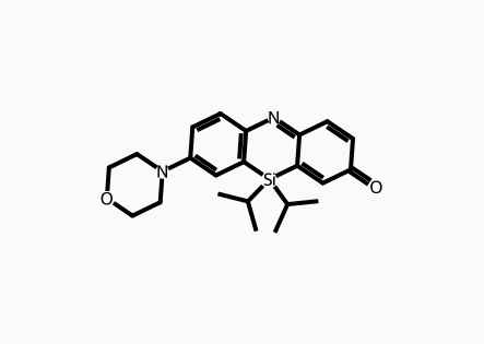 CC(C)[Si]1(C(C)C)C2=CC(=O)C=CC2=Nc2ccc(N3CCOCC3)cc21